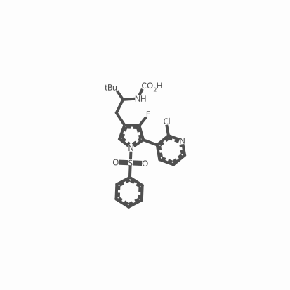 CC(C)(C)C(Cc1cn(S(=O)(=O)c2ccccc2)c(-c2cccnc2Cl)c1F)NC(=O)O